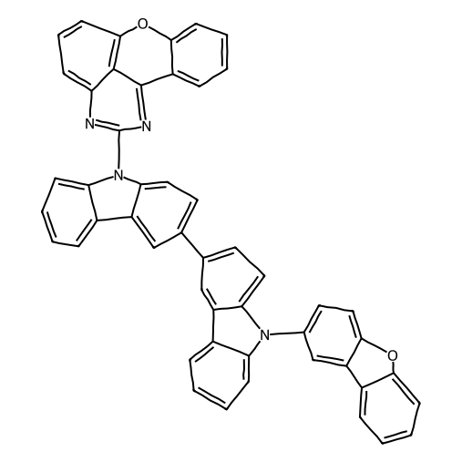 c1ccc2c(c1)Oc1cccc3nc(-n4c5ccccc5c5cc(-c6ccc7c(c6)c6ccccc6n7-c6ccc7oc8ccccc8c7c6)ccc54)nc-2c13